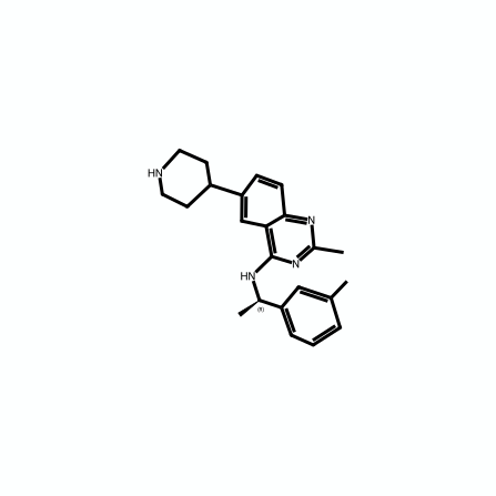 Cc1cccc([C@@H](C)Nc2nc(C)nc3ccc(C4CCNCC4)cc23)c1